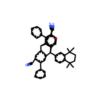 CC1(C)CCC(C)(C)c2cc(C34c5ccc(C#N)cc5C(c5cc(C#N)c(-c6ccccc6)cc53)c3c4ccc(C#N)c3-c3ccccc3)ccc21